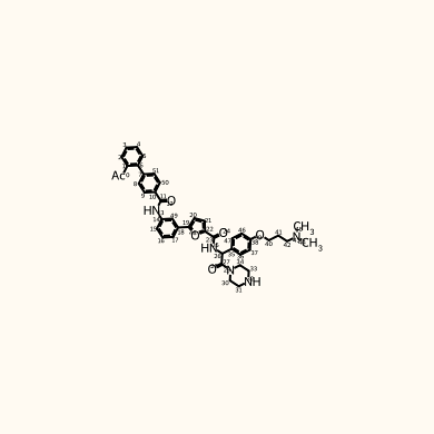 CC(=O)c1ccccc1-c1ccc(C(=O)Nc2cccc(-c3ccc(C(=O)NC(C(=O)N4CCNCC4)c4ccc(OCCCN(C)C)cc4)o3)c2)cc1